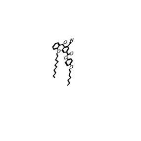 CCCCCCCCCCOc1ccccc1C(=O)c1ccc(C(=O)Oc2ccc(OCCCCCCC)cc2)cc1C#N